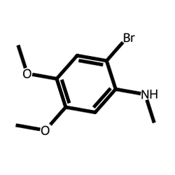 CNc1cc(OC)c(OC)cc1Br